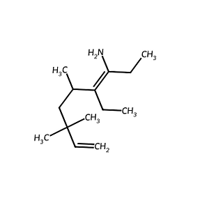 C=CC(C)(C)CC(C)C(CC)=C(N)CC